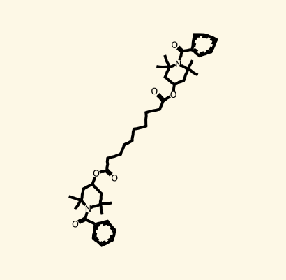 CC1(C)CC(OC(=O)CCCCCCCCC(=O)OC2CC(C)(C)N(C(=O)c3ccccc3)C(C)(C)C2)CC(C)(C)N1C(=O)c1ccccc1